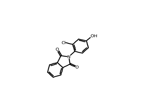 O=C1c2ccccc2C(=O)N1c1ccc(O)cc1Cl